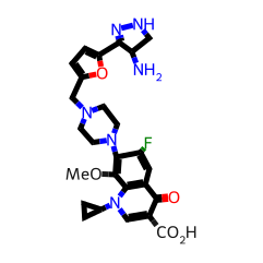 COc1c(N2CCN(Cc3ccc(C4=NNCC4N)o3)CC2)c(F)cc2c(=O)c(C(=O)O)cn(C3CC3)c12